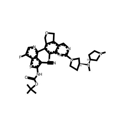 CN1CC[C@H](N(C)[C@H]2CCN(c3ncc4c5c(c(-c6ncc(F)c7sc(NC(=O)OC(C)(C)C)c(C#N)c67)c(F)c4n3)COC5)C2)C1